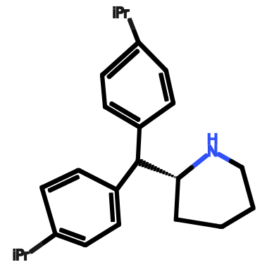 CC(C)c1ccc(C(c2ccc(C(C)C)cc2)[C@H]2CCCCN2)cc1